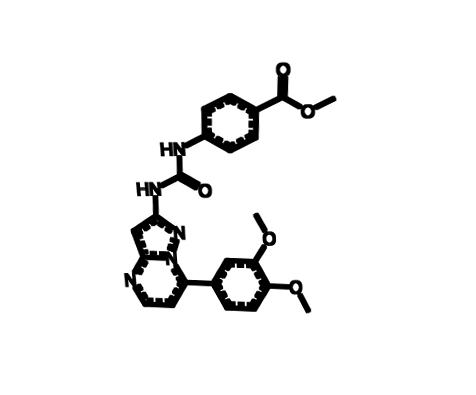 COC(=O)c1ccc(NC(=O)Nc2cc3nccc(-c4ccc(OC)c(OC)c4)n3n2)cc1